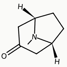 CN1[C@@H]2CC[C@H]1CC(=O)C2